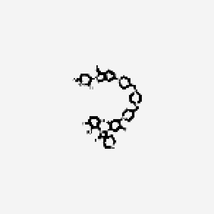 COc1cc(N2CCC(CN3CCN(CC4CCN(c5ccc6c(c5)CN([C@H]5CCC(=O)NC5=O)C6=O)CC4)CC3)CC2)c(F)cc1[C@@H]1N(c2cccc(F)c2O)C(=O)C12CCOCC2